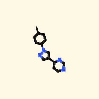 Cc1ccc(-n2cc(-c3ccncn3)cn2)cc1